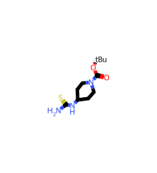 CC(C)(C)OC(=O)N1CCC(NC(N)=S)CC1